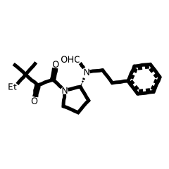 CCC(C)(C)C(=O)C(=O)N1CCC[C@H]1N(C=O)CCc1ccccc1